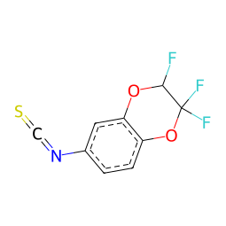 FC1Oc2cc(N=C=S)ccc2OC1(F)F